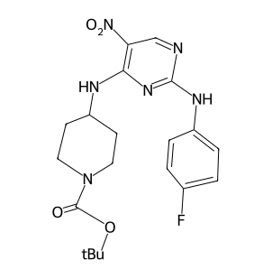 CC(C)(C)OC(=O)N1CCC(Nc2nc(Nc3ccc(F)cc3)ncc2[N+](=O)[O-])CC1